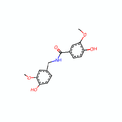 COc1cc(CNC(=O)c2ccc(O)c(OC)c2)ccc1O